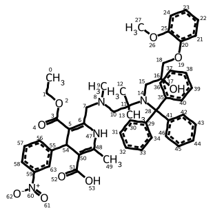 CCOC(=O)C1=C(CN(C)CC(C)(C)N(CC(O)COc2ccccc2OC)C(c2ccccc2)(c2ccccc2)c2ccccc2)NC(C)=C(C(=O)O)C1c1cccc([N+](=O)[O-])c1